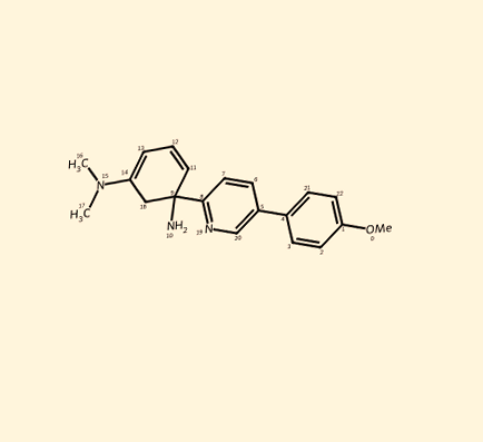 COc1ccc(-c2ccc(C3(N)C=CC=C(N(C)C)C3)nc2)cc1